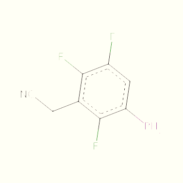 N#CCc1c(F)c(F)cc(P)c1F